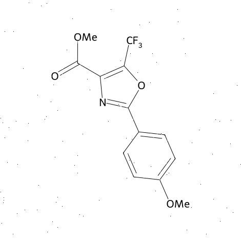 COC(=O)c1nc(-c2ccc(OC)cc2)oc1C(F)(F)F